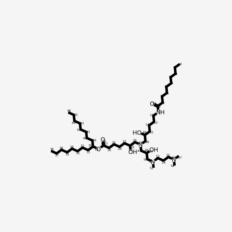 CCCCCCCCCC(=O)NCCCCC(O)CN(CC(O)CCCCC(=O)OC(CCCCCCCC)CCCCCCCC)CC(O)CN(C)CCCN(C)C